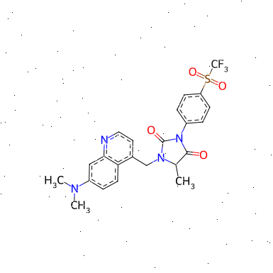 CC1C(=O)N(c2ccc(S(=O)(=O)C(F)(F)F)cc2)C(=O)N1Cc1ccnc2cc(N(C)C)ccc12